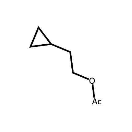 CC(=O)OCCC1CC1